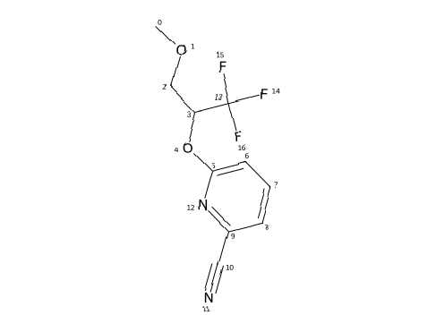 COCC(Oc1cccc(C#N)n1)C(F)(F)F